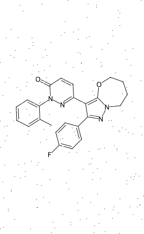 Cc1ccccc1-n1nc(-c2c(-c3ccc(F)cc3)nn3c2OCCCC3)ccc1=O